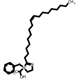 CCCCCCCC/C=C\CCCCCCCCC1=NCC[N+]1(Cc1ccccc1)C(C)O